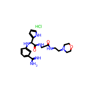 Cl.N=C(N)c1cccc(NC(C(=O)NCC(=O)NCCN2CCOCC2)c2ccc[nH]2)c1